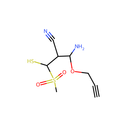 C#CCOC(N)C(C#N)C(S)S(C)(=O)=O